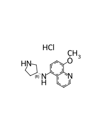 COc1ccc(N[C@@H]2CCNC2)c2cccnc12.Cl